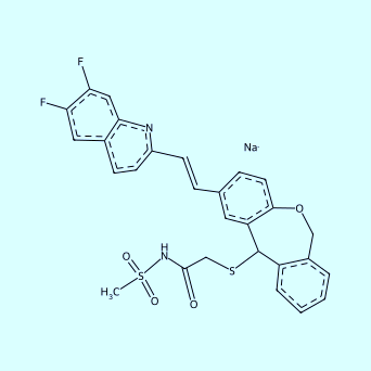 CS(=O)(=O)NC(=O)CSC1c2ccccc2COc2ccc(C=Cc3ccc4cc(F)c(F)cc4n3)cc21.[Na]